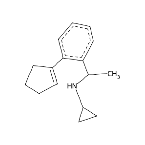 CC(NC1CC1)c1ccccc1C1=CCCC1